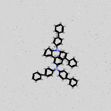 c1ccc(-c2ccc(N(c3ccc(-c4ccccc4)cc3)c3cccc(-c4ccccc4N(c4ccc(-c5ccccc5)cc4)c4ccc(-c5ccccc5)cc4)c3)cc2)cc1